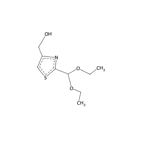 CCOC(OCC)c1nc(CO)cs1